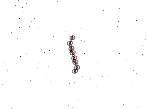 C=CC(=O)OCCCCOC(=O)C1CCC(C(=O)Oc2cc(C)c(OC(=O)C3CCC(C(=O)Oc4cc(C)c(OC(=O)C5CCC(C(=O)OCCOC(=O)C=C)CC5)cc4C)CC3)cc2C)CC1